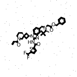 C=CC(=O)N1CCC[C@]2(C1)C[C@H](n1c(NC(=O)c3ccc(C(F)F)s3)nc3cc(CN(CC(=O)OCc4ccccc4)[C@@H](C)C(C)(C)C)ccc31)C2